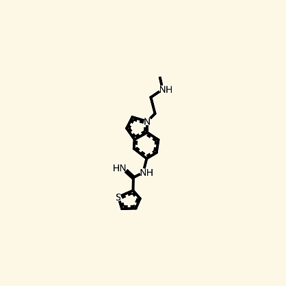 CNCCn1ccc2cc(NC(=N)c3cccs3)ccc21